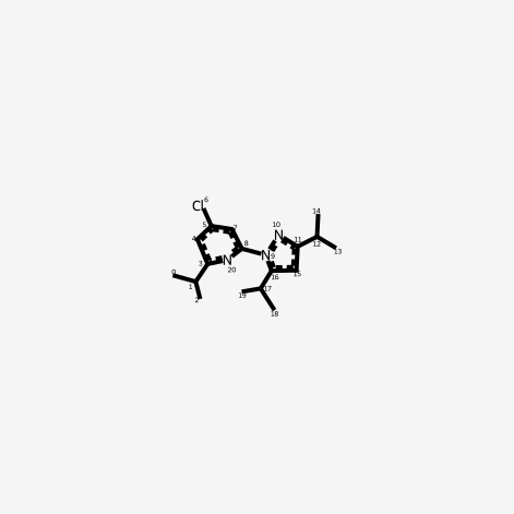 CC(C)c1cc(Cl)cc(-n2nc(C(C)C)cc2C(C)C)n1